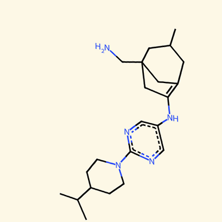 CC1CC2=C(Nc3cnc(N4CCC(C(C)C)CC4)nc3)CC(CN)(C2)C1